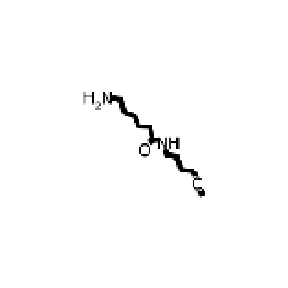 C=C=CCCCNC(=O)CCCCCN